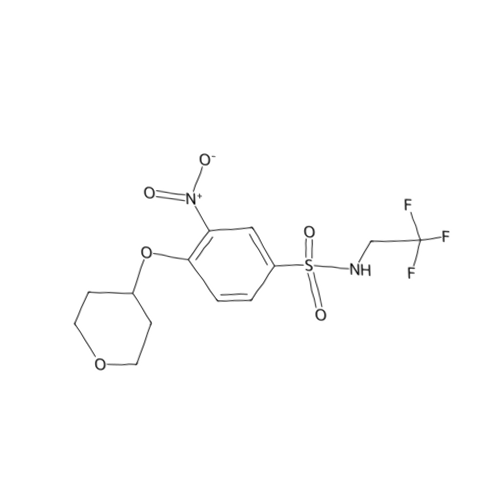 O=[N+]([O-])c1cc(S(=O)(=O)NCC(F)(F)F)ccc1OC1CCOCC1